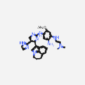 COc1cc(NCCN(C)C)c(N)cc1Nc1ncc(-c2ncc[nH]2)c(-c2cn3c4c(cccc24)CCC3)n1